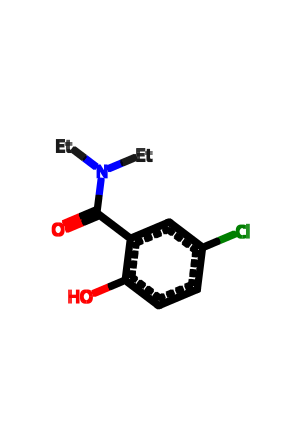 CCN(CC)C(=O)c1cc(Cl)ccc1O